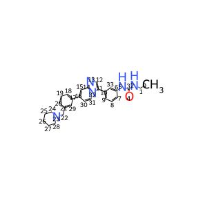 CCNC(=O)Nc1cccc(-c2cnc3cc(-c4cccc(CN5CCCCC5)c4)ccn23)c1